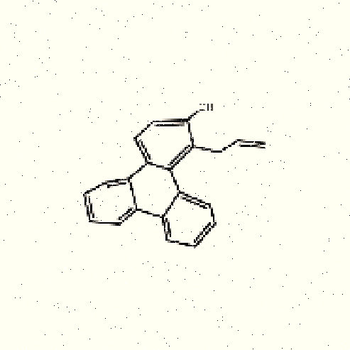 C=CCc1c(O)ccc2c3ccccc3c3ccccc3c12